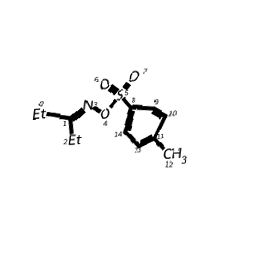 CCC(CC)=NOS(=O)(=O)c1ccc(C)cc1